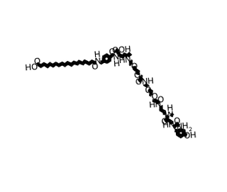 C=C(CCC(NC(=O)C1CCC(CNC(=O)CCCCCCCCCCCCCCCCCCC(=O)O)CC1)C(=O)O)NCCOCCOCC(=O)NCCOCCOCC(=O)NCCCC[C@H](NC)C(=O)CN[C@@H](Cc1ccc(O)cc1)C(N)=O